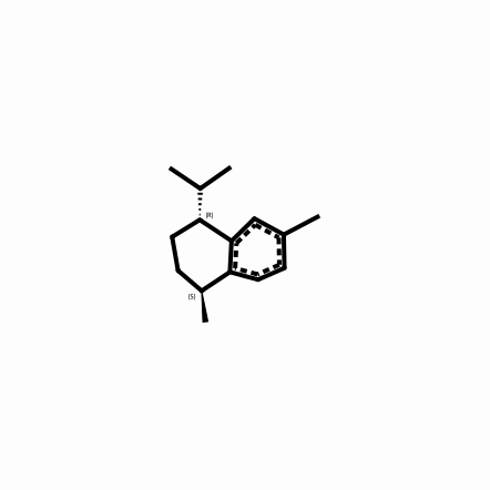 Cc1ccc2c(c1)[C@@H](C(C)C)CC[C@@H]2C